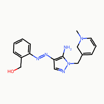 CN1C=CC=C(Cn2ncc(/N=N/c3ccccc3CO)c2N)C1